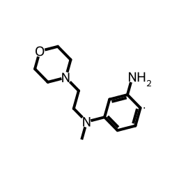 CN(CCN1CCOCC1)c1cc[c]c(N)c1